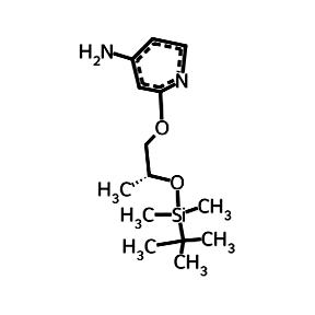 C[C@H](COc1cc(N)ccn1)O[Si](C)(C)C(C)(C)C